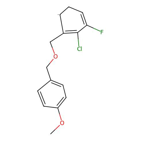 COc1ccc(COCC2=C(Cl)C(F)=CC[CH]2)cc1